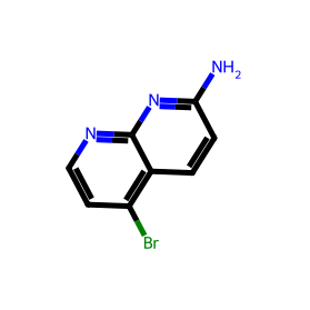 Nc1ccc2c(Br)ccnc2n1